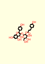 O=C(/C=C/c1ccc(O)cc1)OC1C(Oc2c(-c3ccc(O)cc3)oc3cc(O)cc(O)c3c2=O)OC(CO)C(O)C1O